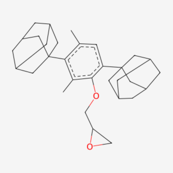 Cc1cc(C23CC4CC(CC(C4)C2)C3)c(OCC2CO2)c(C)c1C12CC3CC(CC(C3)C1)C2